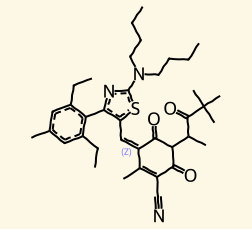 CCCCN(CCCC)c1nc(-c2c(CC)cc(C)cc2CC)c(/C=C2\C(=O)C(C(C)C(=O)C(C)(C)C)C(=O)C(C#N)=C2C)s1